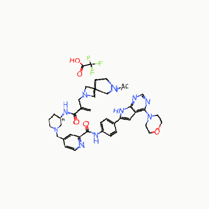 C=C(CN1CC2(CCN(C(C)=O)C2)C1)C(=O)N[C@@H]1CCCN(Cc2ccnc(C(=O)Nc3ccc(-c4cc5c(N6CCOCC6)ncnc5[nH]4)cc3)c2)C1.O=C(O)C(F)(F)F